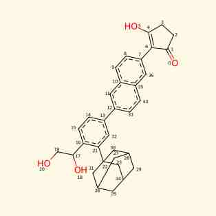 O=C1CCC(O)=C1c1ccc2cc(-c3ccc(C(O)CO)c(C45CC6CC(CC(C6)C4)C5)c3)ccc2c1